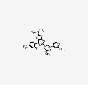 Cc1cc([C@@H]2CN(c3nc(-c4ccc(C(F)(F)F)cc4F)c4sc(N(C)C)nc4n3)C[C@H](C)O2)ccn1